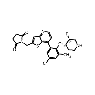 Cc1cc(Cl)cc(-c2ccnc3cc(CN4C(=O)CCC4=O)sc23)c1O[C@H]1CCNC[C@@H]1F